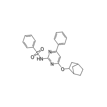 O=S(=O)(Nc1nc(OC2CC3CCC2C3)cc(-c2ccccc2)n1)c1ccccc1